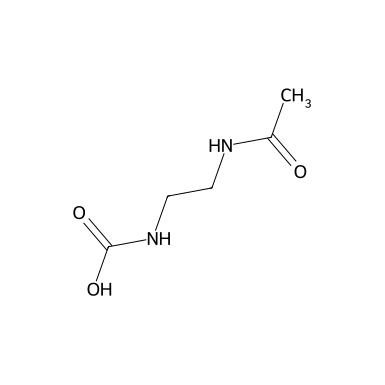 CC(=O)NCCNC(=O)O